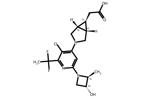 C[C@H]1[C@H](O)CN1c1cc(N2C[C@@H]3[C@@H](CC(=O)O)[C@@H]3C2)c(Cl)c(C(C)(F)F)n1